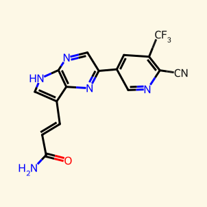 N#Cc1ncc(-c2cnc3[nH]cc(C=CC(N)=O)c3n2)cc1C(F)(F)F